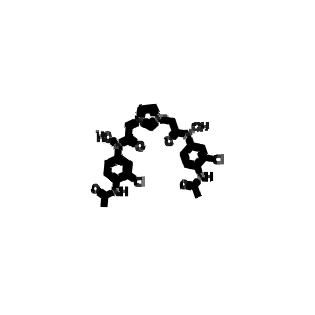 CC(=O)Nc1ccc(N(O)C(=O)Cn2cc[n+](CC(=O)N(O)c3ccc(NC(C)=O)c(Cl)c3)c2)cc1Cl